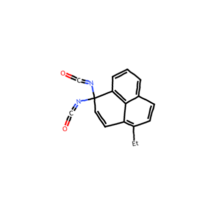 CCc1ccc2cccc3c2c1C=CC3(N=C=O)N=C=O